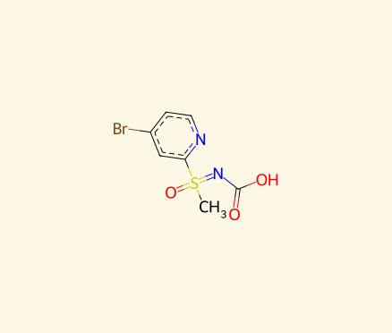 CS(=O)(=NC(=O)O)c1cc(Br)ccn1